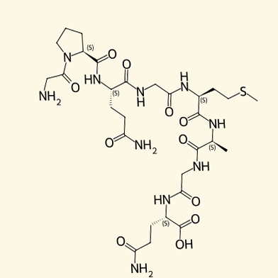 CSCC[C@H](NC(=O)CNC(=O)[C@H](CCC(N)=O)NC(=O)[C@@H]1CCCN1C(=O)CN)C(=O)N[C@@H](C)C(=O)NCC(=O)N[C@@H](CCC(N)=O)C(=O)O